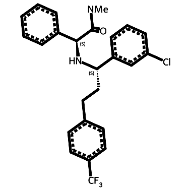 CNC(=O)[C@@H](N[C@@H](CCc1ccc(C(F)(F)F)cc1)c1cccc(Cl)c1)c1ccccc1